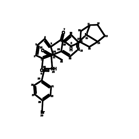 COc1cccc(C(=O)NC2CC3CCC(C2)N3c2ccc(C(=O)NCc3ccc(Br)cc3)cn2)c1C